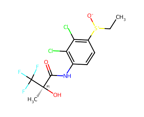 CC[S+]([O-])c1ccc(NC(=O)[C@@](C)(O)C(F)(F)F)c(Cl)c1Cl